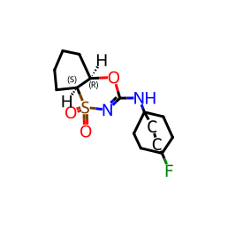 O=S1(=O)N=C(NC23CCC(F)(CC2)CC3)O[C@@H]2CCCC[C@@H]21